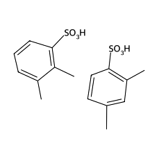 Cc1ccc(S(=O)(=O)O)c(C)c1.Cc1cccc(S(=O)(=O)O)c1C